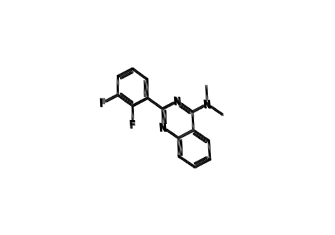 CN(C)c1nc(-c2cccc(F)c2F)nc2ccccc12